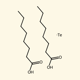 CCCCCCCC(=O)O.CCCCCCCC(=O)O.[Te]